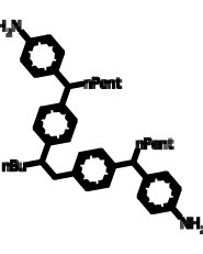 CCCCCC(c1ccc(N)cc1)c1ccc(CC(CCCC)c2ccc(C(CCCCC)c3ccc(N)cc3)cc2)cc1